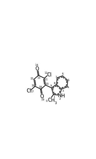 Cc1[nH]c2ccccc2c1C1=C(Cl)C(=O)C=C(Cl)C1=O